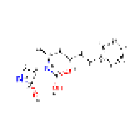 C[C@@H](CCCCc1ccccc1)N(C(=O)O)[C@H]1CNC1=O